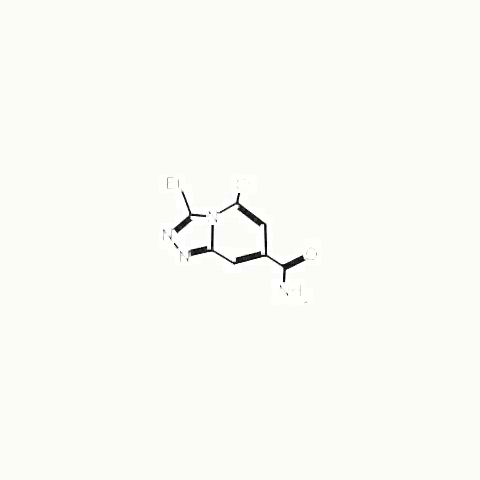 CCc1nnc2cc(C(N)=O)cc(Cl)n12